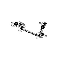 Cc1cc(N2C(=S)N(c3ccc(C#N)c(C(F)(F)F)c3F)C(=O)C2(C)C)cnc1OCCOCCOCCOCC(=O)N[C@H](C(=O)N1CC(O)C[C@H]1C(=O)NCc1ccc(-c2scnc2C)cc1)C(C)(C)C